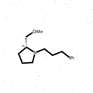 COC[C@H]1CCCN1CCCC(C)C